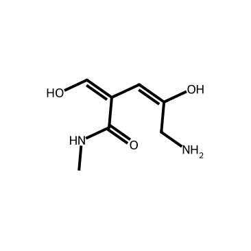 CNC(=O)C(=CO)/C=C(/O)CN